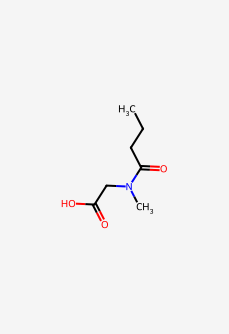 CCCC(=O)N(C)CC(=O)O